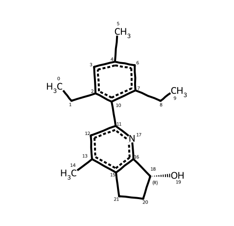 CCc1cc(C)cc(CC)c1-c1cc(C)c2c(n1)[C@H](O)CC2